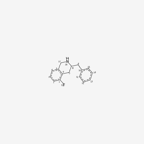 Fc1cccc2c1CC(Cc1ccccc1)NC2